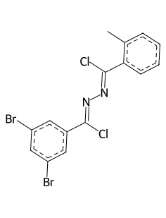 Cc1ccccc1/C(Cl)=N/N=C(\Cl)c1cc(Br)cc(Br)c1